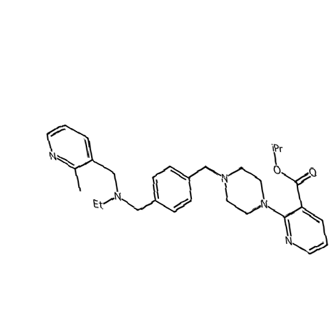 CCN(Cc1ccc(CN2CCN(c3ncccc3C(=O)OC(C)C)CC2)cc1)Cc1cccnc1C